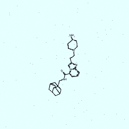 NC1CCN(CCc2cn3c(C(=O)NCC45CC6CC(CC(C6)C4)C5)cccc3n2)CC1